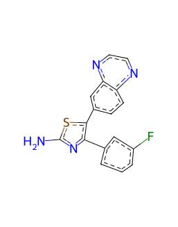 Nc1nc(-c2cccc(F)c2)c(-c2ccc3nccnc3c2)s1